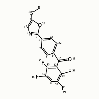 CSc1nnc(-c2ccc(C(=O)c3c(F)c(F)cc(F)c3F)cc2)o1